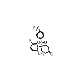 O=C1CCC(C2C=C(F)C=CC2C(F)(F)F)(S(=O)(=O)c2ccc(C(F)(F)F)cc2)CC1